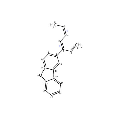 C=C/C(=C\C=C/C)c1ccc2oc3ccccc3c2c1